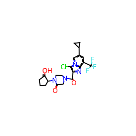 O=C(c1nc2c(C(F)(F)F)cc(C3CC3)cn2c1Cl)N1CCN(C2CCC[C@H]2O)C(=O)C1